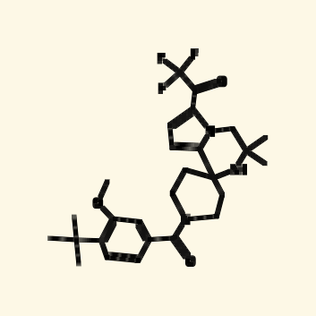 COc1cc(C(=O)N2CCC3(CC2)NC(C)(C)Cn2c(C(=O)C(F)(F)F)ccc23)ccc1C(C)(C)C